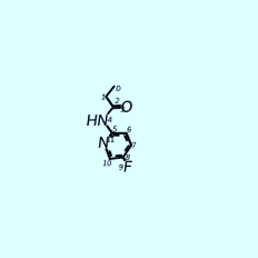 CCC(=O)Nc1ccc(F)cn1